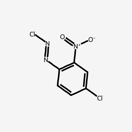 O=[N+]([O-])c1cc(Cl)ccc1/N=N/Cl